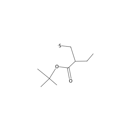 CCC(C[S])C(=O)OC(C)(C)C